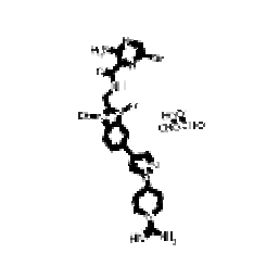 CCn1c(CNC(=O)c2nc(Br)cnc2N)[n+](CC)c2ccc(-c3cnn(C4CCN(C(=N)N)CC4)c3)cc21.O=CO.O=C[O-]